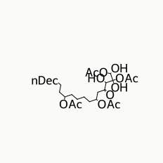 CCCCCCCCCCCCC(CCCCC(CC(=O)C(O)C(O)(OC(C)=O)C(O)OC(C)=O)OC(C)=O)OC(C)=O